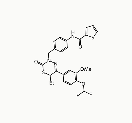 CCC1SC(=O)N(Cc2ccc(NC(=O)c3cccs3)cc2)N=C1c1ccc(OC(F)F)c(OC)c1